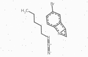 Brc1ccc2c(c1)c1cn2-1.CCCCCN=[N+]=[N-]